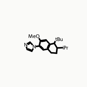 COc1cc2c(cc1-n1ccnc1)CCC(C(C)C)C2C(C)(C)C